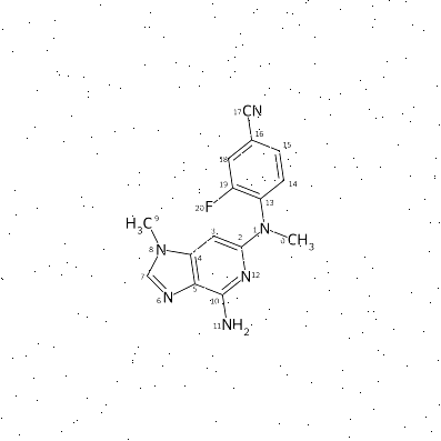 CN(c1cc2c(ncn2C)c(N)n1)c1ccc(C#N)cc1F